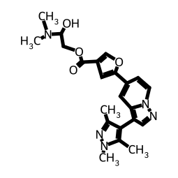 Cc1nn(C)c(C)c1-c1cnn2ccc(-c3cc(C(=O)OCC(O)N(C)C)co3)cc12